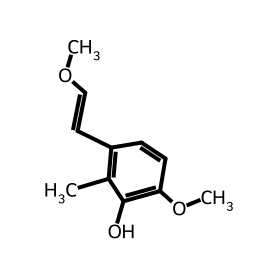 CO/C=C/c1ccc(OC)c(O)c1C